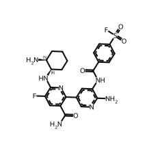 NC(=O)c1cc(F)c(N[C@@H]2CCCC[C@@H]2N)nc1-c1cnc(N)c(NC(=O)c2ccc(S(=O)(=O)F)cc2)c1